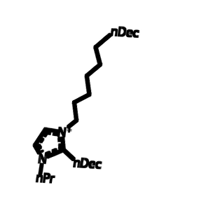 CCCCCCCCCCCCCCCC[n+]1ccn(CCC)c1CCCCCCCCCC